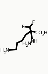 NCCCCC(NN)(C(=O)O)C(F)F